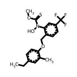 CCc1ccc(OCc2ccc(C(F)(F)F)cc2N(O)C(=S)OC)c(C)c1